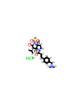 CC(C)[C@H]1C(=O)N(S(C)(=O)=O)[C@H]2CCN(C(=O)C=Cc3ccc(CN(C)C)cc3)[C@H]12.Cl